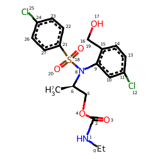 CCNC(=O)OC[C@@H](C)N(c1cc(Cl)ccc1CO)S(=O)(=O)c1ccc(Cl)cc1